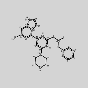 CN(Cc1cccnc1)Cc1nc(-c2cc(F)cc3[nH]ccc23)cc(N2CCOCC2)n1